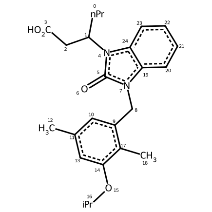 CCCC(CC(=O)O)n1c(=O)n(Cc2cc(C)cc(OC(C)C)c2C)c2ccccc21